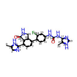 Cc1cnc(-c2ccc(-c3ccc(NC(=O)Nc4nc[nH]c4C)cc3F)c3c2C(=O)NC3)[nH]1